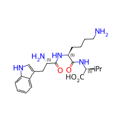 CC(C)[C@H](NC(=O)[C@H](CCCCN)NC(=O)[C@@H](N)Cc1c[nH]c2ccccc12)C(=O)O